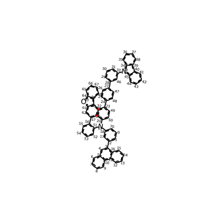 c1cc(-c2cc3ccccc3c3ccccc23)cc(N(c2ccc(-c3ccc(-c4cccc(-n5c6ccccc6c6ccccc65)c4)cc3)cc2)c2ccccc2-c2ccc3c(c2)oc2ccccc23)c1